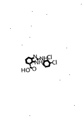 O=C(O)c1cccc2nc(Nc3cccc(Cl)c3Cl)[nH]c12